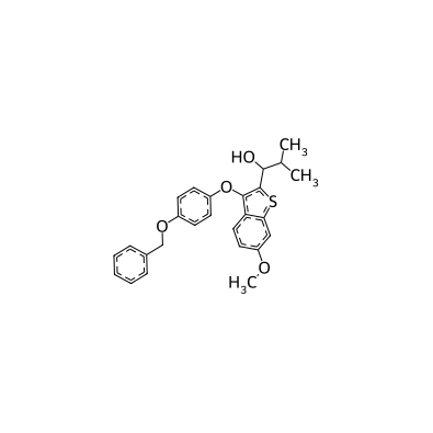 COc1ccc2c(Oc3ccc(OCc4ccccc4)cc3)c(C(O)C(C)C)sc2c1